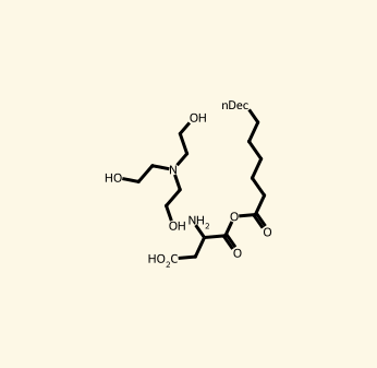 CCCCCCCCCCCCCCCC(=O)OC(=O)C(N)CC(=O)O.OCCN(CCO)CCO